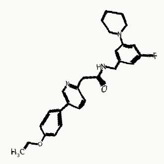 CCOc1ccc(-c2ccc(CC(=O)NCc3cc(F)cc(N4CCCCC4)c3)nc2)cc1